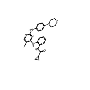 O=C(Nc1ccccc1Nc1nc(Nc2ccc(N3CCOCC3)cc2)ncc1F)C1CC1